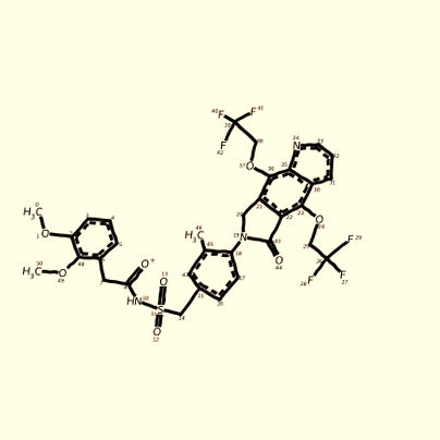 COc1cccc(CC(=O)NS(=O)(=O)Cc2ccc(N3Cc4c(c(OCC(F)(F)F)c5cccnc5c4OCC(F)(F)F)C3=O)c(C)c2)c1OC